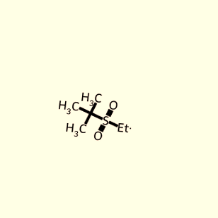 C[CH]S(=O)(=O)C(C)(C)C